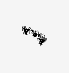 C[C@@H](CNC(=O)c1cc(C(F)(F)F)cc(C(F)(F)F)c1)Oc1cccc(O[C@@H](C)CNC(=O)c2cc(C(F)(F)F)cc(C(F)(F)F)c2)c1I